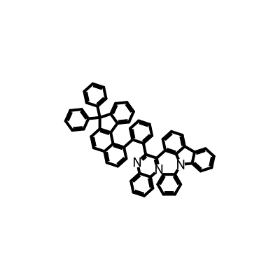 c1ccc(-n2c3ccccc3c3cccc(-c4nc5ccccc5nc4-c4ccccc4-c4cccc5ccc6c(c45)-c4ccccc4C6(c4ccccc4)c4ccccc4)c32)cc1